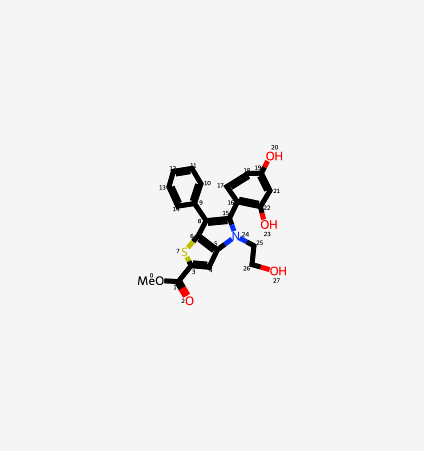 COC(=O)c1cc2c(s1)c(-c1ccccc1)c(-c1ccc(O)cc1O)n2CCO